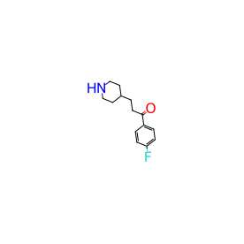 O=C(CCC1CCNCC1)c1ccc(F)cc1